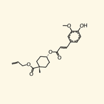 C=CCOC(=O)[C@]1(C)CC[C@H](OC(=O)C=Cc2ccc(O)c(OC)c2)CC1